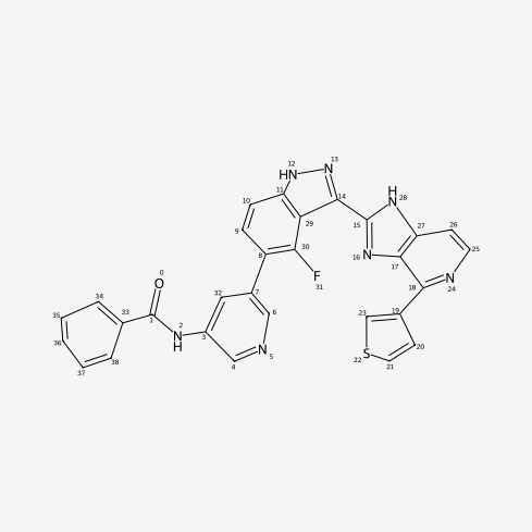 O=C(Nc1cncc(-c2ccc3[nH]nc(-c4nc5c(-c6ccsc6)nccc5[nH]4)c3c2F)c1)c1ccccc1